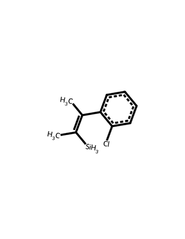 CC([SiH3])=C(C)c1ccccc1Cl